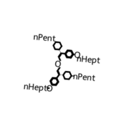 CCCCCCCOc1ccc(C(=CCOCC=C(c2ccc(OCCCCCCC)cc2)[C@H]2CC[C@H](CCCCC)CC2)[C@H]2CC[C@H](CCCCC)CC2)cc1